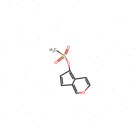 CS(=O)(=O)Oc1ccc2coccc1-2